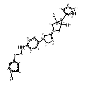 Clc1ccc(CCNc2ncc(C3CC(N4C[C@@H]5C(c6cnn[nH]6)[C@@H]5C4)=NO3)cn2)cc1